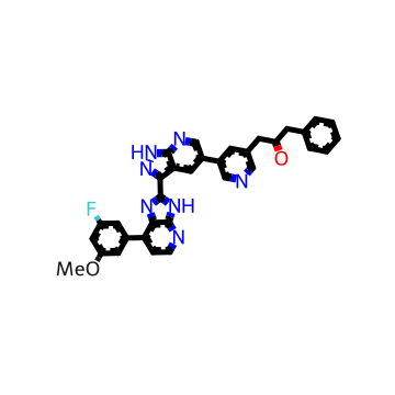 COc1cc(F)cc(-c2ccnc3[nH]c(-c4n[nH]c5ncc(-c6cncc(CC(=O)Cc7ccccc7)c6)cc45)nc23)c1